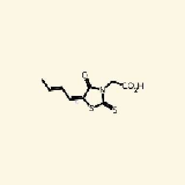 CC=C/C=C1/SC(=S)N(CC(=O)O)C1=O